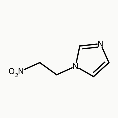 O=[N+]([O-])CCn1ccnc1